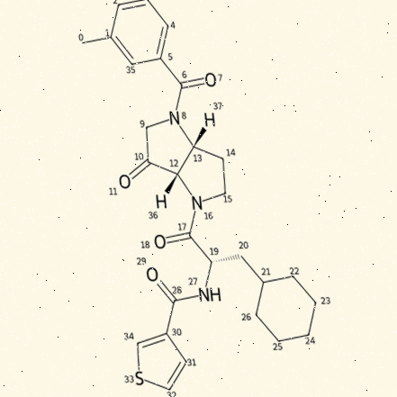 Cc1cccc(C(=O)N2CC(=O)[C@@H]3[C@H]2CCN3C(=O)[C@H](CC2CCCCC2)NC(=O)c2ccsc2)c1